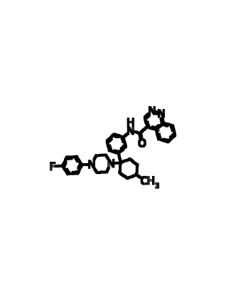 CC1CCC(c2cccc(NC(=O)c3cnnc4ccccc34)c2)(N2CCN(c3ccc(F)cc3)CC2)CC1